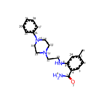 Cc1ccc(C(N)=O)c(NCCN2CCN(c3ccccc3)CC2)c1